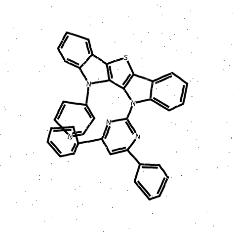 c1ccc(-c2cc(-c3ccccc3)nc(-n3c4ccccc4c4sc5c6ccccc6n(-c6ccncc6)c5c43)n2)cc1